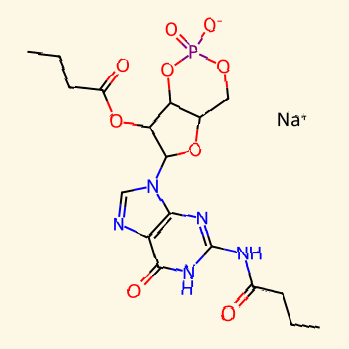 CCCC(=O)Nc1nc2c(ncn2C2OC3COP(=O)([O-])OC3C2OC(=O)CCC)c(=O)[nH]1.[Na+]